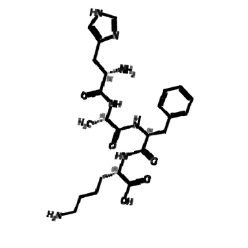 C[C@H](NC(=O)[C@@H](N)Cc1c[nH]cn1)C(=O)N[C@@H](Cc1ccccc1)C(=O)N[C@@H](CCCCN)C(=O)O